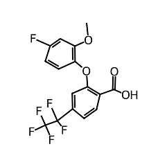 COc1cc(F)ccc1Oc1cc(C(F)(F)C(F)(F)F)ccc1C(=O)O